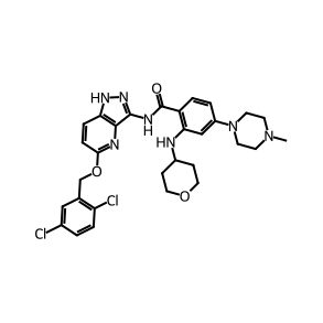 CN1CCN(c2ccc(C(=O)Nc3n[nH]c4ccc(OCc5cc(Cl)ccc5Cl)nc34)c(NC3CCOCC3)c2)CC1